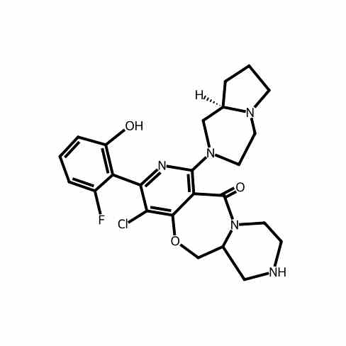 O=C1c2c(N3CCN4CCC[C@@H]4C3)nc(-c3c(O)cccc3F)c(Cl)c2OCC2CNCCN12